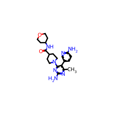 Cc1nc(N)nc(N2CCC(C(=O)NC3CCOCC3)CC2)c1-c1ccc(N)nc1